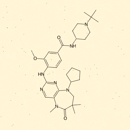 COc1cc(C(=O)NC2CCN(C(C)(C)C)CC2)ccc1Nc1ncc2c(n1)N(C1CCCC1)CC(C)(C)C(=O)N2C